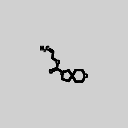 C=CCOC(=O)N1CCC2(CCOCC2)C1